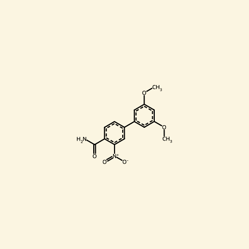 COc1cc(OC)cc(-c2ccc(C(N)=O)c([N+](=O)[O-])c2)c1